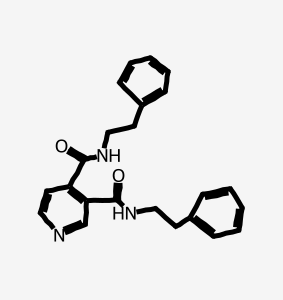 O=C(NCCc1ccccc1)c1ccncc1C(=O)NCCc1ccccc1